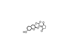 O=C(Oc1cc2ccc(O)cc2oc1=O)ON1C(=O)CCC1=O